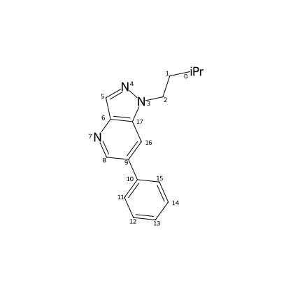 CC(C)CCn1ncc2ncc(-c3ccccc3)cc21